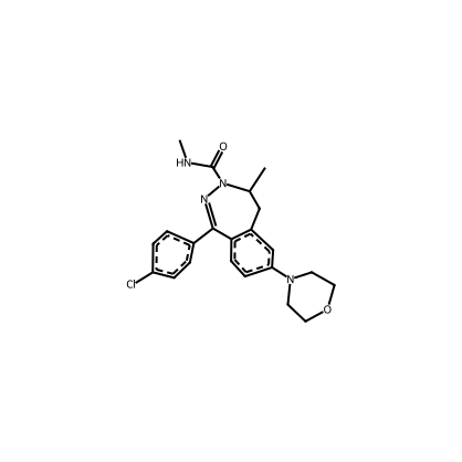 CNC(=O)N1N=C(c2ccc(Cl)cc2)c2ccc(N3CCOCC3)cc2CC1C